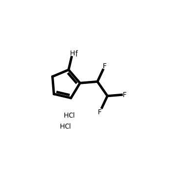 Cl.Cl.FC(F)C(F)C1=[C]([Hf])CC=C1